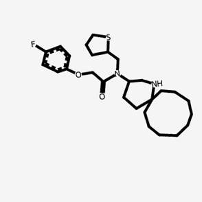 O=C(COc1ccc(F)cc1)N(CC1CCCS1)C1CCC2(CCCCCCCCC2)NC1